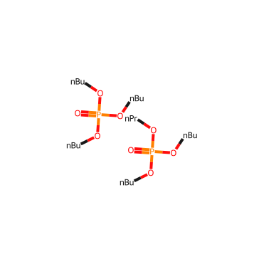 CCCCOP(=O)(OCCC)OCCCC.CCCCOP(=O)(OCCCC)OCCCC